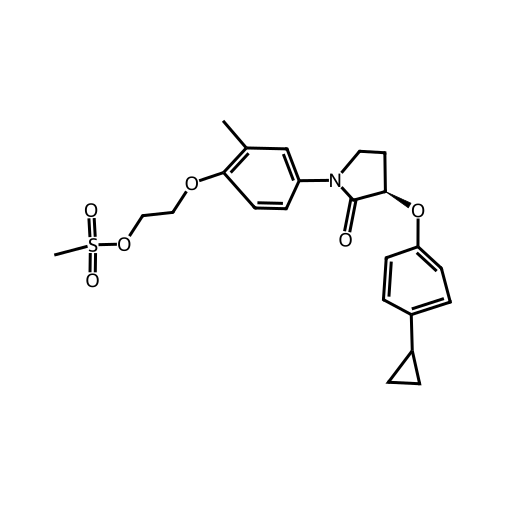 Cc1cc(N2CC[C@@H](Oc3ccc(C4CC4)cc3)C2=O)ccc1OCCOS(C)(=O)=O